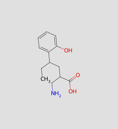 CCC(CC(CN)C(=O)O)c1ccccc1O